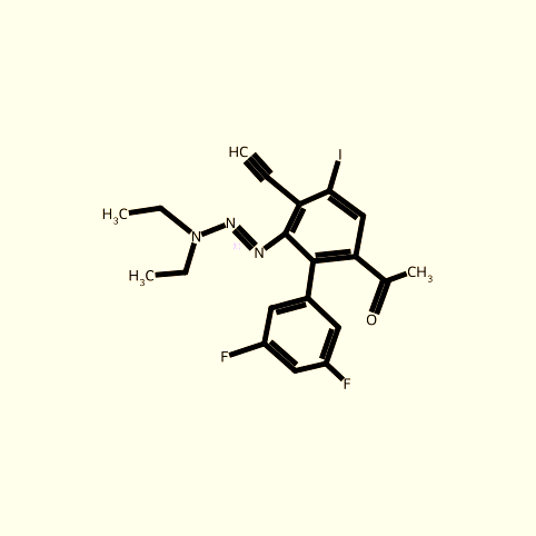 C#Cc1c(I)cc(C(C)=O)c(-c2cc(F)cc(F)c2)c1/N=N/N(CC)CC